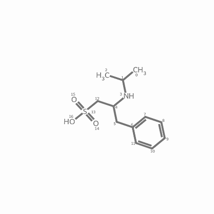 CC(C)NC(Cc1ccccc1)CS(=O)(=O)O